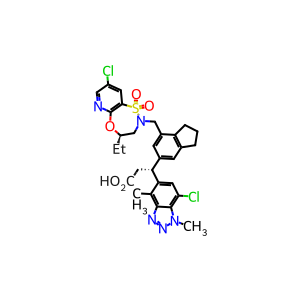 CC[C@@H]1CN(Cc2cc([C@@H](CC(=O)O)c3cc(Cl)c4c(nnn4C)c3C)cc3c2CCC3)S(=O)(=O)c2cc(Cl)cnc2O1